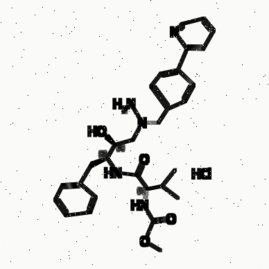 COC(=O)N[C@H](C(=O)N[C@@H](Cc1ccccc1)[C@@H](O)CN(N)Cc1ccc(-c2ccccn2)cc1)C(C)C.Cl